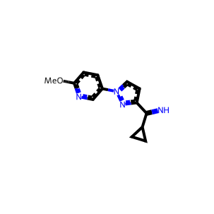 COc1ccc(-n2ccc(C(=N)C3CC3)n2)cn1